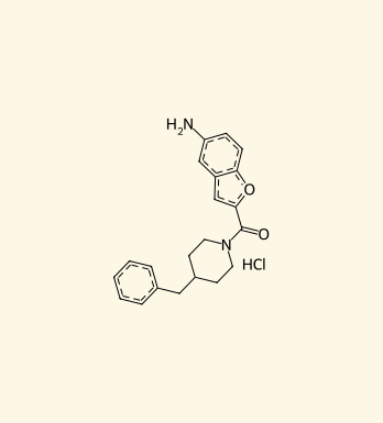 Cl.Nc1ccc2oc(C(=O)N3CCC(Cc4ccccc4)CC3)cc2c1